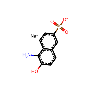 Nc1c(O)ccc2cc(S(=O)(=O)[O-])ccc12.[Na+]